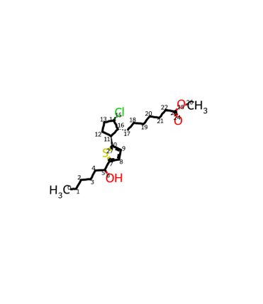 CCCCCC(O)c1ccc([C@H]2CC[C@@H](Cl)[C@@H]2CCCCCCC(=O)OC)s1